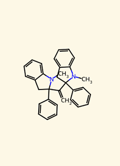 C=C(C1(c2ccccc2)Cc2ccccc2N1C)C1(c2ccccc2)Cc2ccccc2N1C